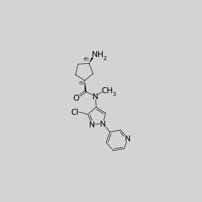 CN(C(=O)[C@H]1CC[C@@H](N)C1)c1cn(-c2cccnc2)nc1Cl